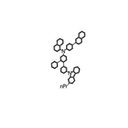 CCCc1ccc2c3ccccc3n(-c3cccc(-c4ccc(N(c5ccc(-c6ccc7ccccc7c6)cc5)c5cccc6ccccc56)cc4-c4ccccc4)c3)c2c1